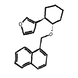 c1ccc2c(CO[C@H]3CCCC[C@@H]3c3ccoc3)cccc2c1